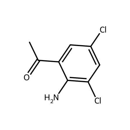 CC(=O)c1cc(Cl)cc(Cl)c1N